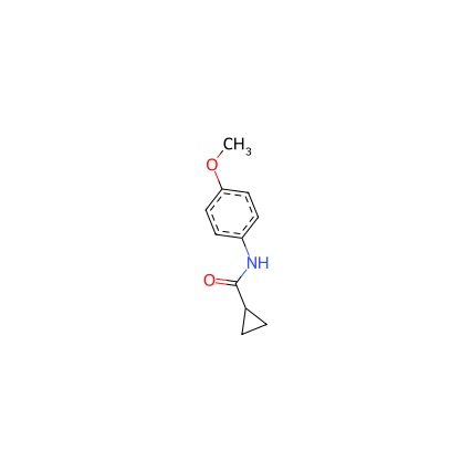 COc1ccc(NC(=O)C2CC2)cc1